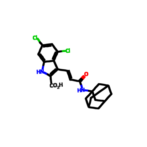 O=C(C=Cc1c(C(=O)O)[nH]c2cc(Cl)cc(Cl)c12)NC12CC3CC(CC(C3)C1)C2